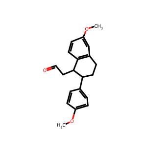 COc1ccc(C2CCc3cc(OC)ccc3C2CC=O)cc1